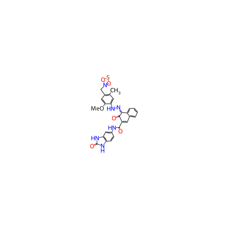 COc1cc(CN2OSO2)c(C)cc1N/N=C1\C(=O)C(C(=O)Nc2ccc3[nH]c(=O)[nH]c3c2)=Cc2ccccc21